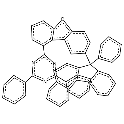 c1ccc(-c2nc(-c3ccccc3)nc(-c3cccc4oc5ccc(C6(c7ccccc7)c7ccccc7-c7c6ccc6ccccc76)cc5c34)n2)cc1